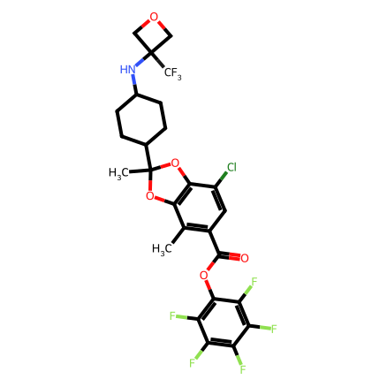 Cc1c(C(=O)Oc2c(F)c(F)c(F)c(F)c2F)cc(Cl)c2c1OC(C)(C1CCC(NC3(C(F)(F)F)COC3)CC1)O2